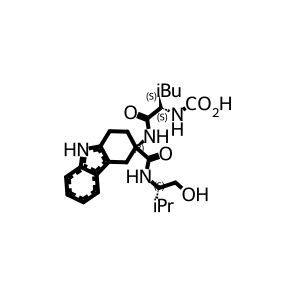 CC[C@H](C)[C@H](NC(=O)O)C(=O)N[C@]1(C(=O)N[C@H](CO)C(C)C)CCc2[nH]c3ccccc3c2C1